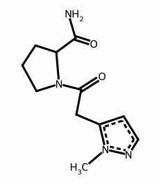 Cn1nccc1CC(=O)N1CCCC1C(N)=O